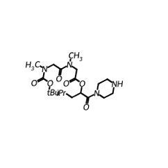 CC(C)CC(OC(=O)CN(C)C(=O)CN(C)C(=O)OC(C)(C)C)C(=O)N1CCNCC1